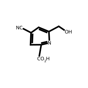 N#Cc1cc(CO)nc(C(=O)O)c1